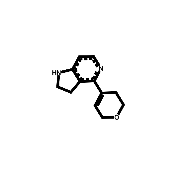 C1=C(c2nccc3c2CCN3)CCOC1